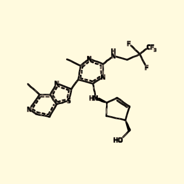 Cc1nc(NCC(F)(F)C(F)(F)F)nc(N[C@H]2C=C[C@@H](CO)C2)c1-c1nc2c(C)nccc2s1